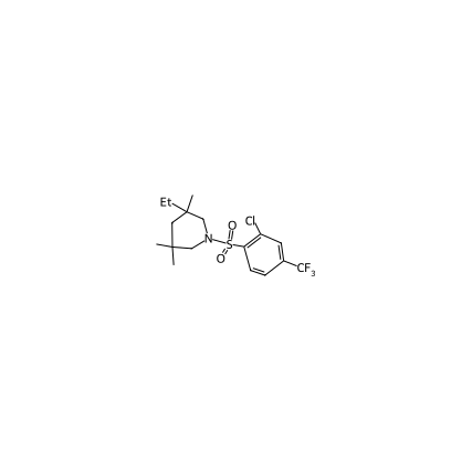 CCC1(C)CN(S(=O)(=O)c2ccc(C(F)(F)F)cc2Cl)CC(C)(C)C1